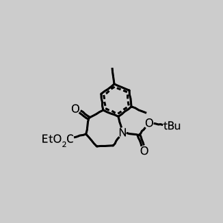 CCOC(=O)C1CCN(C(=O)OC(C)(C)C)c2c(C)cc(C)cc2C1=O